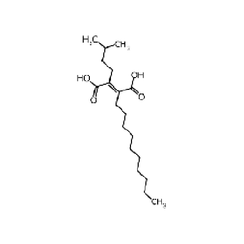 CCCCCCCCCCC(C(=O)O)=C(CCC(C)C)C(=O)O